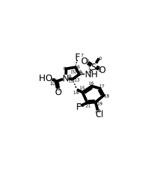 CS(=O)(=O)N[C@H]1[C@@H](F)CN(C(=O)O)[C@H]1Cc1cccc(Cl)c1F